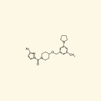 CC(=O)c1ccn(C(=O)N2CCC(OCc3cc(C)cc(N4CCCC4)c3)CC2)n1